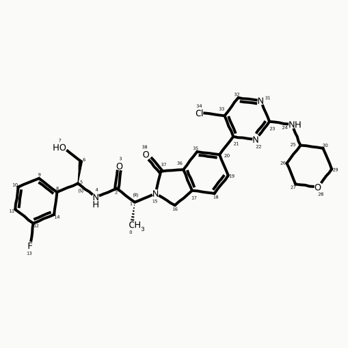 C[C@H](C(=O)N[C@H](CO)c1cccc(F)c1)N1Cc2ccc(-c3nc(NC4CCOCC4)ncc3Cl)cc2C1=O